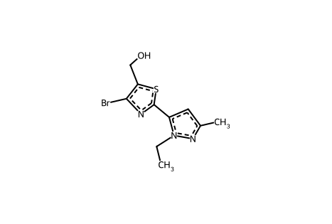 CCn1nc(C)cc1-c1nc(Br)c(CO)s1